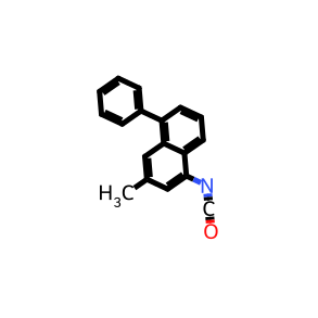 Cc1cc(N=C=O)c2cccc(-c3ccccc3)c2c1